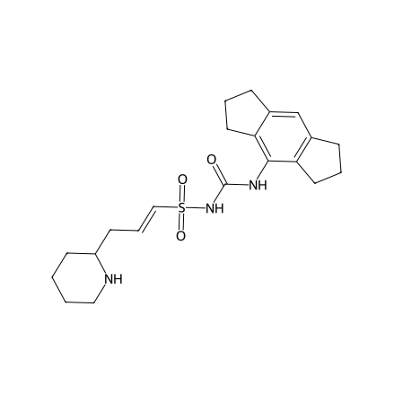 O=C(Nc1c2c(cc3c1CCC3)CCC2)NS(=O)(=O)/C=C/CC1CCCCN1